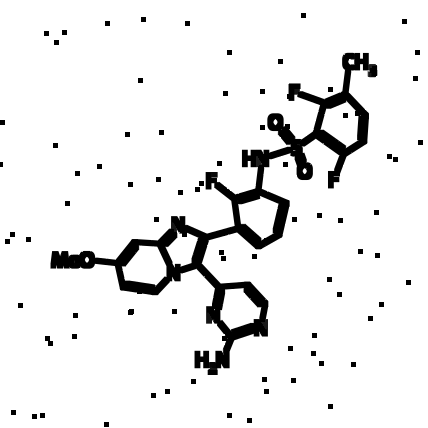 COc1ccn2c(-c3ccnc(N)n3)c(-c3cccc(NS(=O)(=O)c4c(F)ccc(C)c4F)c3F)nc2c1